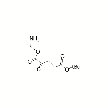 CC(C)(C)OC(=O)CCC(=O)C(=O)OCN